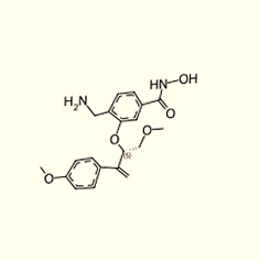 C=C(c1ccc(OC)cc1)[C@@H](COC)Oc1cc(C(=O)NO)ccc1CN